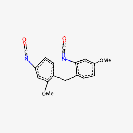 COc1ccc(Cc2ccc(N=C=O)cc2OC)c(N=C=O)c1